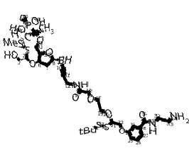 CSS[C@@H](CO)O[C@@H]1C[C@H](BC#CCNC(=O)COCCOC(COc2cccc(C(=O)NCCN)c2)SSC(C)(C)C)OC1COC(C)(C)P(=O)(O)O